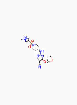 Cn1cc(S(=O)(=O)N2CCC(Nc3ncc(C#N)c(O[C@@H]4CCOC4)n3)CC2)cn1